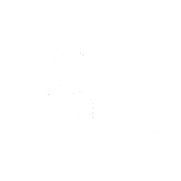 C=CCOc1c(Br)cc(OC(=O)C(C)CCCCC)cc1Br